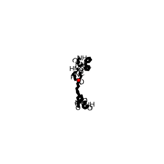 C[C@H]1CN(C(=O)CCCC#Cc2ccc3c(c2)n(C)c(=O)n3C2CCC(=O)NC2=O)CC[C@H]2CC[C@@H](C(=O)N[C@@H](CCC(N)=O)C(=O)NC(c3ccccc3)c3ccccc3)N2C1=O